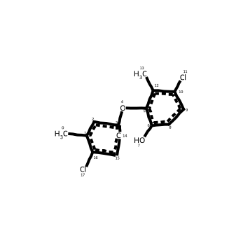 Cc1cc(Oc2c(O)ccc(Cl)c2C)ccc1Cl